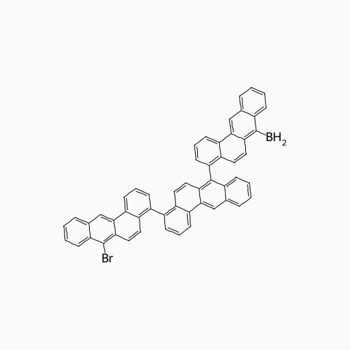 Bc1c2ccccc2cc2c1ccc1c(-c3c4ccccc4cc4c3ccc3c(-c5cccc6c5ccc5c(Br)c7ccccc7cc56)cccc34)cccc12